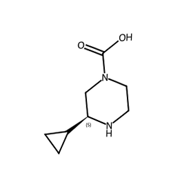 O=C(O)N1CCN[C@@H](C2CC2)C1